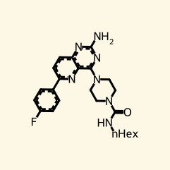 CCCCCCNC(=O)N1CCN(c2nc(N)nc3ccc(-c4ccc(F)cc4)nc23)CC1